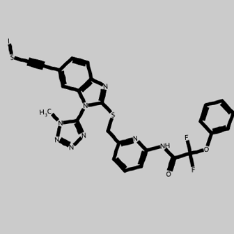 Cn1nnnc1-n1c(SCc2cccc(NC(=O)C(F)(F)Oc3ccccc3)n2)nc2ccc(C#CSI)cc21